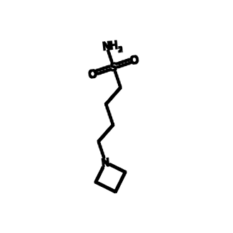 NS(=O)(=O)CCCCN1CCC1